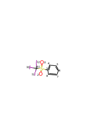 O=S(=O)(c1ccccc1)C(I)(I)I